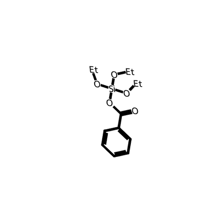 CCO[Si](OCC)(OCC)OC(=O)c1ccccc1